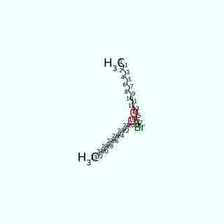 CCCCCCCCCCCCCCOCC(CBr)OCCCCCCCCCCCCCC